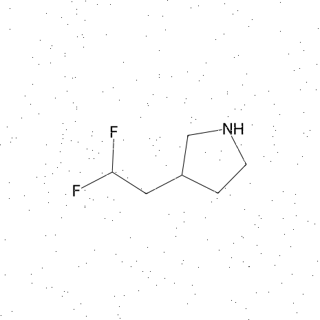 FC(F)CC1CCNC1